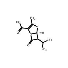 CC1=C(C(=O)O)N2C(=O)C(C(C)O)[C@@H]2S1